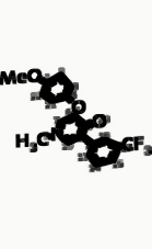 COc1ccc(Oc2cn(C)cc(-c3cccc(C(F)(F)F)c3)c2=O)cc1